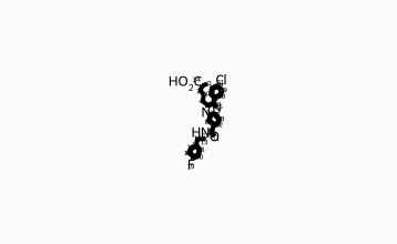 CC(CCCc1nc2cc(C(=O)NCCc3ccc(F)cc3)ccc2nc1-c1ccc(Cl)cc1)C(=O)O